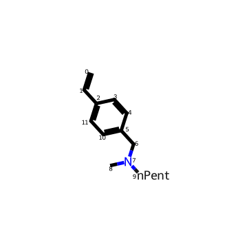 C=Cc1ccc(CN(C)CCCCC)cc1